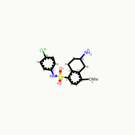 COc1ccc(S(=O)(=O)Nc2ccc(Cl)cc2)c2c1CC(N)CC2